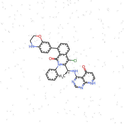 C[C@H](Nc1ncnc2[nH]ccc(=O)c12)c1c(Cl)c2cccc(-c3ccc4c(c3)OCCN4)c2c(=O)n1-c1ccccc1